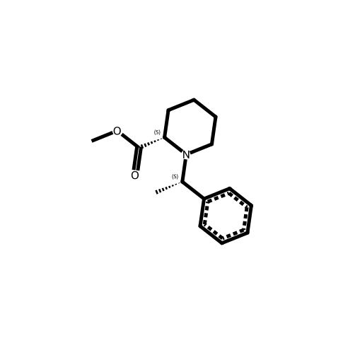 COC(=O)[C@@H]1CCCCN1[C@@H](C)c1ccccc1